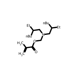 C=C(C)C(=O)OCN(CC(CC)CCCC)CC(CC)CCCC